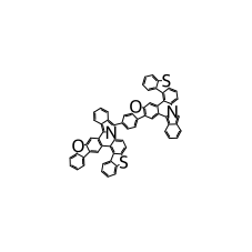 c1ccc2c(c1)cn1c3ccc4sc5ccccc5c4c3c3cc4oc5cc(-c6c7ccccc7c7c8cc9oc%10ccccc%10c9cc8c8c9c(ccc8n67)sc6ccccc69)ccc5c4cc3c21